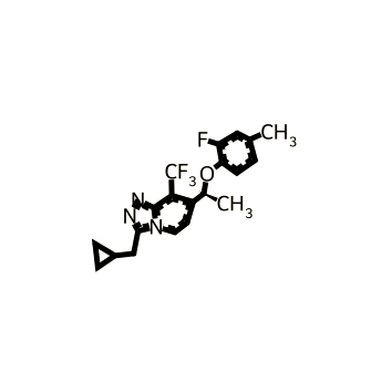 Cc1ccc(O[C@@H](C)c2ccn3c(CC4CC4)nnc3c2C(F)(F)F)c(F)c1